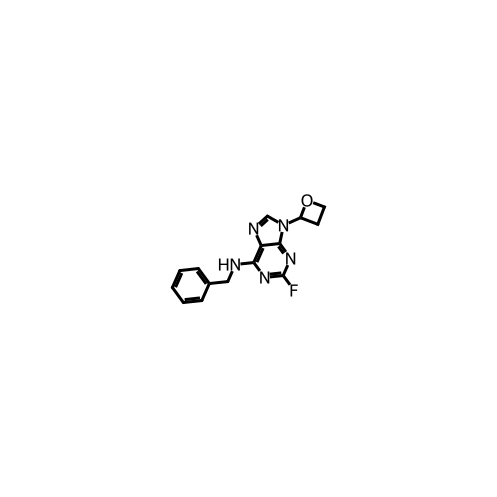 Fc1nc(NCc2ccccc2)c2ncn(C3CCO3)c2n1